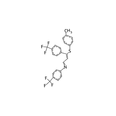 Cc1ccc(SC(=CC=Nc2ccc(C(F)(F)F)cc2)c2ccc(C(F)(F)F)cc2)cc1